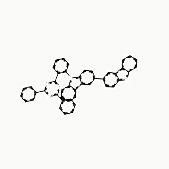 c1ccc(-c2nc(-c3ccccc3)nc(-c3ccccc3-n3c4ccccc4c4cc(-c5ccc6sc7ccccc7c6c5)ccc43)n2)cc1